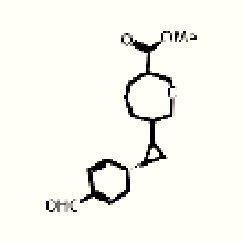 COC(=O)C1CCCC(C2CC2[C@H]2C=CC(C=O)=CC2)CCC1